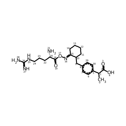 CC(C(=O)O)c1ccc(CC2CCCCC2=NOC(=O)[C@@H](N)CCCNC(=N)N)cc1